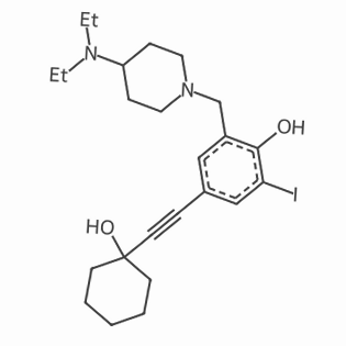 CCN(CC)C1CCN(Cc2cc(C#CC3(O)CCCCC3)cc(I)c2O)CC1